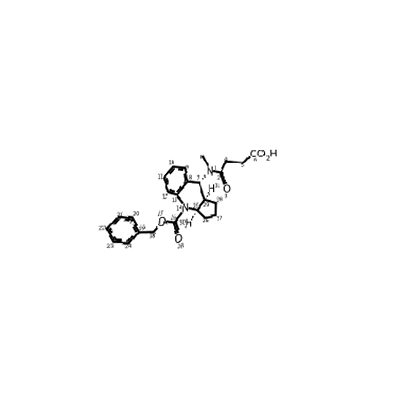 CN(C(=O)CCC(=O)O)[C@H]1c2ccccc2N(C(=O)OCc2ccccc2)[C@@H]2CCC[C@@H]21